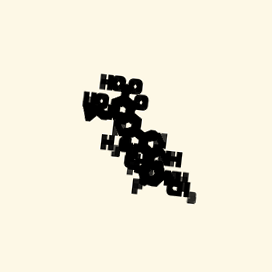 CNc1cc(F)c(F)c2c1[nH]c1ncc(-c3cnc4c(c3)c(=O)c(C(=O)O)cn4CC3(O)CC3)c(N(C)C)c12